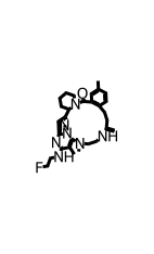 C=C1CCc2ccc(C)cc2C(=O)N2CCCCC2c2cc3nc(NCCF)c(C)c(n3n2)N(C)CCN1